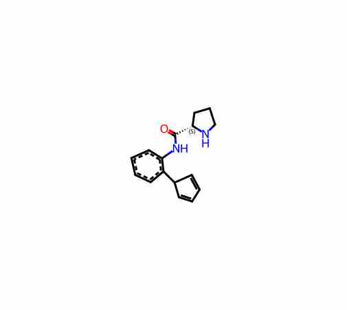 O=C(Nc1ccccc1C1C=CC=C1)[C@@H]1CCCN1